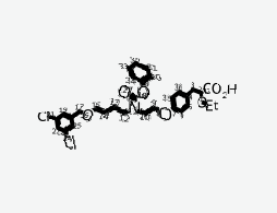 CCOC(Cc1ccc(OCCN(CCCCOCc2cc(Cl)cc(Cl)c2)C(=O)Oc2ccccc2)cc1)C(=O)O